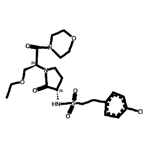 CCOC[C@@H](C(=O)N1CCOCC1)N1CC[C@H](NS(=O)(=O)CCc2ccc(Cl)cc2)C1=O